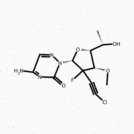 CO[C@H]1[C@@H]([C@H](C)O)O[C@@H](n2ncc(N)nc2=O)C1(F)C#CCl